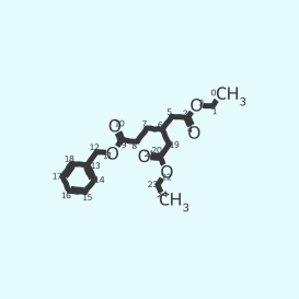 CCOC(=O)CC(CCC(=O)OCc1ccccc1)CC(=O)OCC